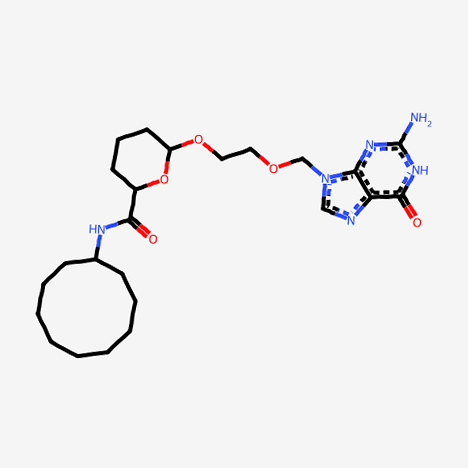 Nc1nc2c(ncn2COCCOC2CCCC(C(=O)NC3CCCCCCCCC3)O2)c(=O)[nH]1